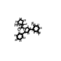 C[C@]1(C(=O)N2CC(c3cc(F)ccc3F)=CC2c2ccccc2)CCCN1